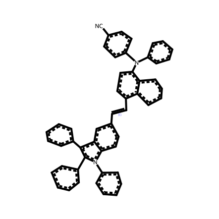 N#Cc1ccc(N(c2ccccc2)c2ccc(/C=C/c3ccc4c(c3)c(-c3ccccc3)c(-c3ccccc3)n4-c3ccccc3)c3ccccc23)cc1